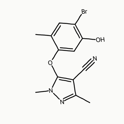 Cc1cc(Br)c(O)cc1Oc1c(C#N)c(C)nn1C